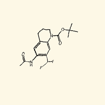 CC(=O)Nc1cc2c(cc1C(F)F)N(C(=O)OC(C)(C)C)CCC2